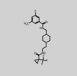 Cc1cc(F)cc(C(=O)NCC2CCN(CCNC(=O)C3(C(F)(F)F)CC3)CC2)c1